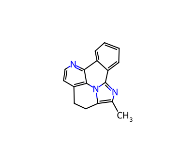 Cc1nc2c3ccccc3c3nccc4c3n2c1CC4